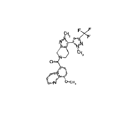 COc1ccc(C(=O)N2CCc3c(nn(C)c3-c3cc(C(F)(F)F)nn3C)C2)c2cccnc12